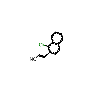 N#CC=Cc1ccc2ccccc2c1Cl